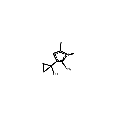 Cc1cc(C2(O)CC2)c(N)n1C